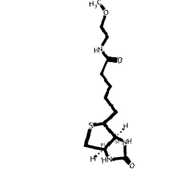 COCCNC(=O)CCCCC1SC[C@@H]2NC(=O)N[C@H]12